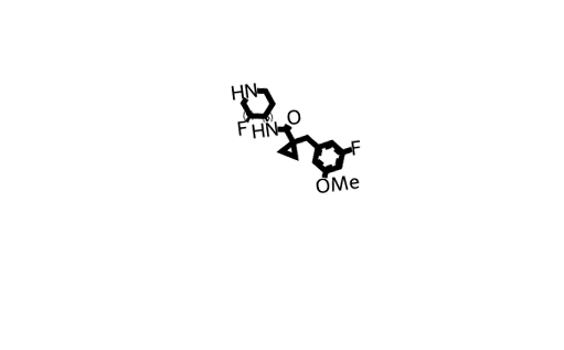 COc1cc(F)cc(CC2(C(=O)N[C@H]3CCNC[C@@H]3F)CC2)c1